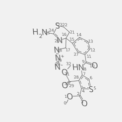 COC(=O)c1scc(NC(=O)c2cccc(C3(CN=[N+]=[N-])CCSC(N)=N3)c2)c1C(=O)OC